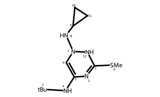 CSC1=NC(NC(C)(C)C)=CN(NC2CC2)N1